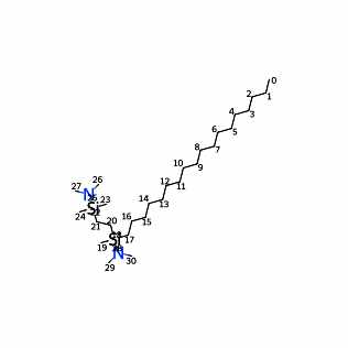 CCCCCCCCCCCCCCCCCC[Si](C)(CC[Si](C)(C)N(C)C)N(C)C